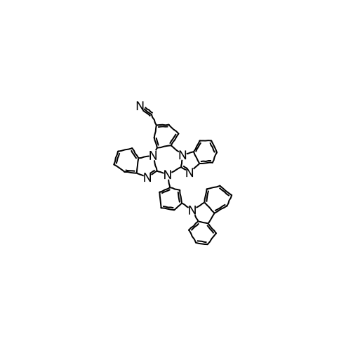 N#Cc1ccc2c(c1)n1c3ccccc3nc1n(-c1cccc(-n3c4ccccc4c4ccccc43)c1)c1nc3ccccc3n21